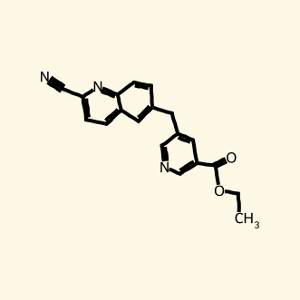 CCOC(=O)c1cncc(Cc2ccc3nc(C#N)ccc3c2)c1